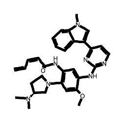 C=C/C=C\C(=O)Nc1cc(Nc2nccc(-c3cn(C)c4ccccc34)n2)c(OC)cc1N1CC[C@H](N(C)C)C1